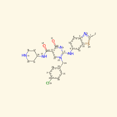 Cc1nc2ccc(Nc3nc(=O)c(C(=O)NC4CCNCC4)cn3Cc3ccc(Cl)cc3)cc2s1